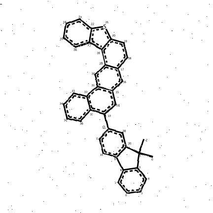 CC1(C)c2ccccc2-c2ccc(-c3cc4cc5ccc6sc7ccccc7c6c5cc4c4ccccc34)cc21